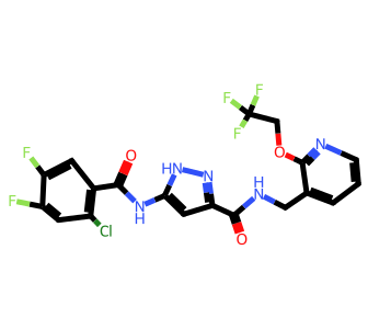 O=C(NCc1cccnc1OCC(F)(F)F)c1cc(NC(=O)c2cc(F)c(F)cc2Cl)[nH]n1